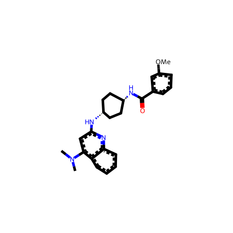 COc1cccc(C(=O)N[C@H]2CC[C@@H](Nc3cc(N(C)C)c4ccccc4n3)CC2)c1